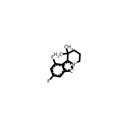 CC1(C)CCC[n+]2[cH-]c3cc(F)cc(F)c3c21